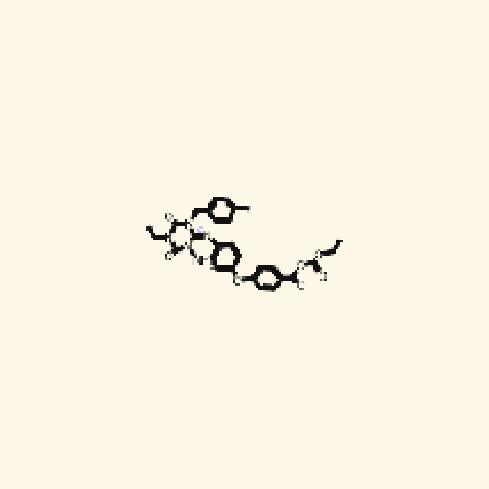 CCOC(=O)OC(=O)c1ccc(Oc2ccc(/N=c3\n(N)c(=O)n(CC)c(=O)n3Cc3ccc(C)cc3)cc2)cc1